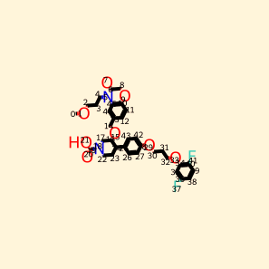 COCCCN1C(=O)COc2ccc(COC3CN(C(=O)O)CCC3c3ccc(OCCCOc4cc(F)ccc4F)cc3)cc21